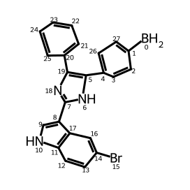 Bc1ccc(-c2[nH]c(-c3c[nH]c4ccc(Br)cc34)nc2-c2ccccc2)cc1